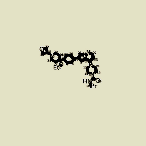 CCOC1(C2C=CC(c3cc4c(N5CCN(C(=O)NC(C)C)CC5)ccnn4c3)=CC2)CCN(C2COC2)CC1